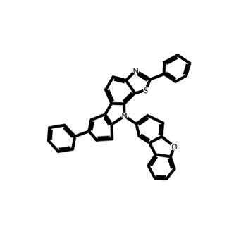 c1ccc(-c2ccc3c(c2)c2ccc4nc(-c5ccccc5)sc4c2n3-c2ccc3oc4ccccc4c3c2)cc1